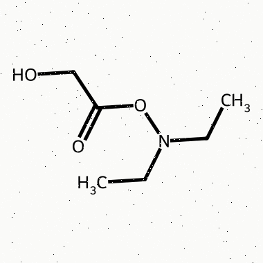 CCN(CC)OC(=O)CO